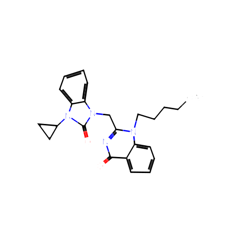 CC(=O)OCCCCn1c(Cn2c(=O)n(C3CC3)c3ccccc32)nc(=O)c2ccccc21